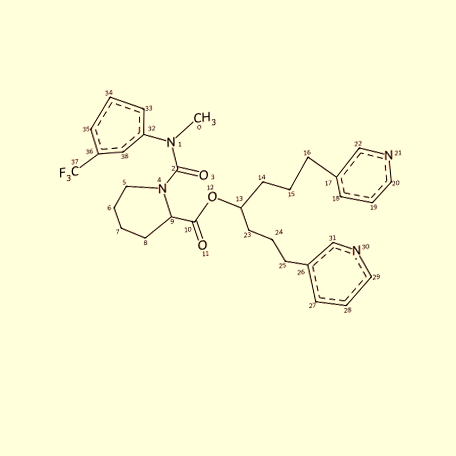 CN(C(=O)N1CCCCC1C(=O)OC(CCCc1cccnc1)CCCc1cccnc1)c1cccc(C(F)(F)F)c1